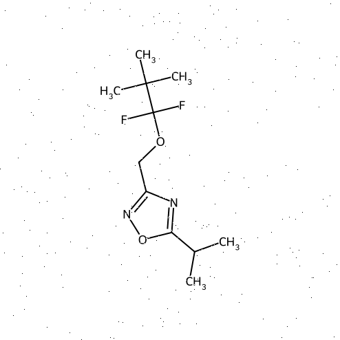 CC(C)c1nc(COC(F)(F)C(C)(C)C)no1